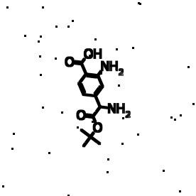 CC(C)(C)OC(=O)C(N)c1ccc(C(=O)O)c(N)c1